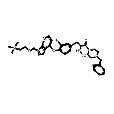 C[Si](C)(C)CCOCn1ccc2c(Oc3ccc(CC(NC(=O)O)C(=O)N4CCN(Cc5ccccc5)CC4)cc3F)ccnc21